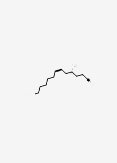 CCCCCC/C=C\C[C@@H](N)CCC#N